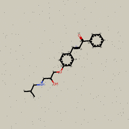 CC(C)CNCC(O)COc1ccc(/C=C/C(=O)c2ccccc2)cc1